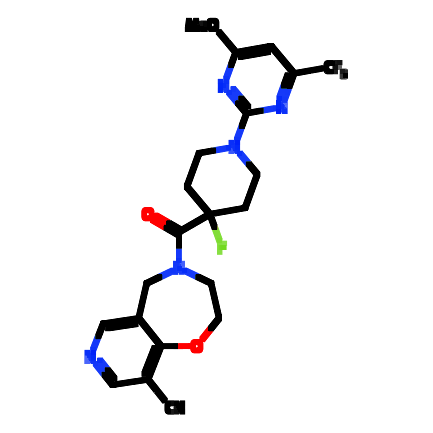 COc1cc(C(F)(F)F)nc(N2CCC(F)(C(=O)N3CCOc4c(C#N)cncc4C3)CC2)n1